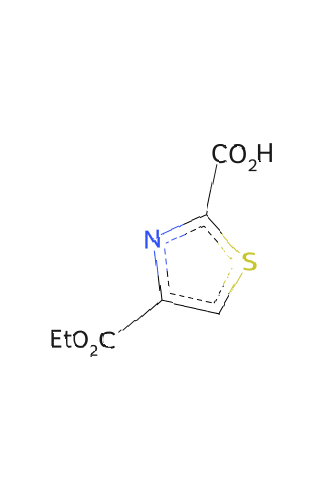 CCOC(=O)c1csc(C(=O)O)n1